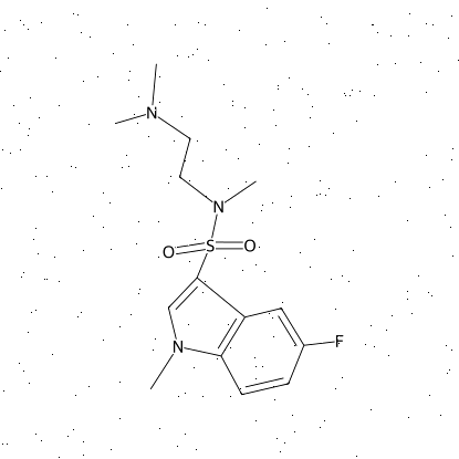 CN(C)CCN(C)S(=O)(=O)c1cn(C)c2ccc(F)cc12